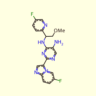 COCC(Nc1nc(-c2cnc3ccc(F)cn23)ncc1N)c1ccc(F)cn1